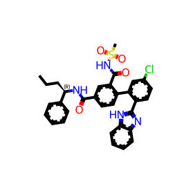 CCC[C@@H](NC(=O)c1ccc(-c2cc(Cl)ccc2-c2nc3ccccc3[nH]2)c(C(=O)NS(C)(=O)=O)c1)c1ccccc1